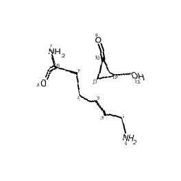 NCCCCCC(N)=O.O=C1CC1O